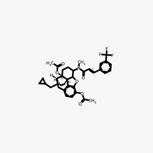 CC(=O)Oc1ccc2c3c1OC1C(N(C)C(=O)/C=C/c4cccc(C(F)(F)F)c4)CC[C@@]4(OC(C)=O)[C@@H](C2)N(CC2CC2)CC[C@]314